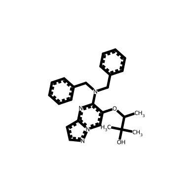 CC(Oc1cn2nccc2nc1N(Cc1ccccc1)Cc1ccccc1)C(C)(C)O